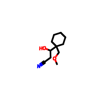 COCC1(C(O)CC#N)CCCCC1